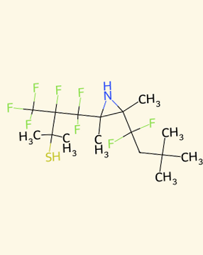 CC(C)(C)CC(F)(F)C1(C)NC1(C)C(F)(F)C(F)(C(F)(F)F)C(C)(C)S